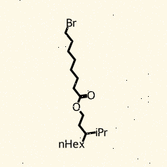 CCCCCCC(CCOC(=O)CCCCCCCBr)C(C)C